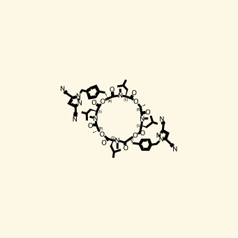 CC(C)C[C@H]1C(=O)O[C@H](Cc2ccc(Cn3nc(C#N)cc3C#N)cc2)C(=O)N(C)[C@@H](CC(C)C)C(=O)O[C@H](C)C(=O)N(C)[C@@H](CC(C)C)C(=O)O[C@H](Cc2ccc(Cn3nc(C#N)cc3C#N)cc2)C(=O)N(C)[C@@H](CC(C)C)C(=O)O[C@H](C)C(=O)N1C